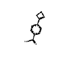 O=C(O)c1ccc(C2=CCC2)cc1